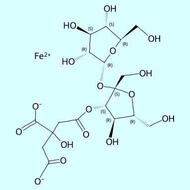 O=C([O-])CC(O)(CC(=O)O[C@H]1[C@H](O)[C@@H](CO)O[C@@]1(CO)O[C@H]1O[C@H](CO)[C@@H](O)[C@H](O)[C@H]1O)C(=O)[O-].[Fe+2]